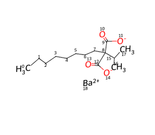 CCCCCCCCC(C(=O)[O-])(C(=O)[O-])C(C)C.[Ba+2]